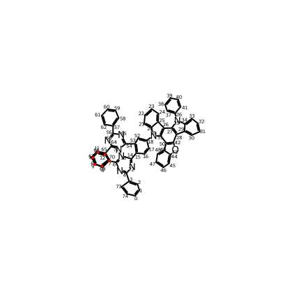 c1ccc(-c2nc(-c3ccccc3)nc(-c3ccc(-n4c5ccccc5c5c6c(c7ccccc7n6-c6ccccc6)c6oc7ccccc7c6c54)cc3-c3nc(-c4ccccc4)nc(-c4ccccc4)n3)n2)cc1